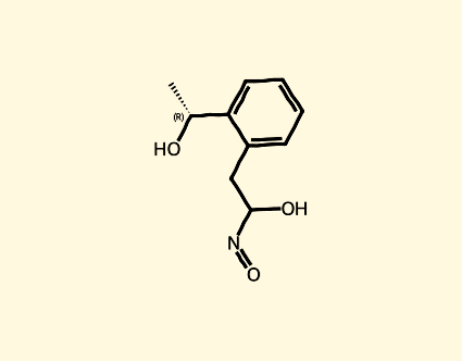 C[C@@H](O)c1ccccc1CC(O)N=O